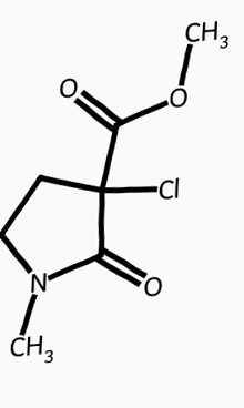 COC(=O)C1(Cl)CCN(C)C1=O